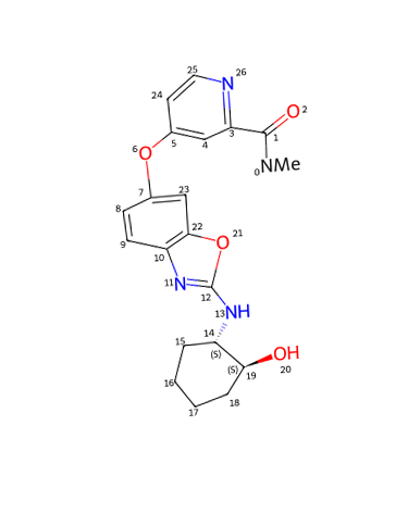 CNC(=O)c1cc(Oc2ccc3nc(N[C@H]4CCCC[C@@H]4O)oc3c2)ccn1